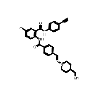 C#Cc1ccc(NC(=O)c2cc(Cl)ccc2NC(=O)c2ccc(C=NN3CCC(CO)CC3)cc2)cc1